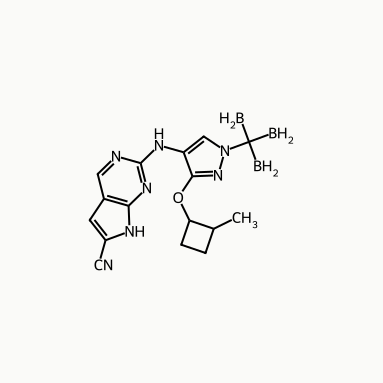 BC(B)(B)n1cc(Nc2ncc3cc(C#N)[nH]c3n2)c(OC2CCC2C)n1